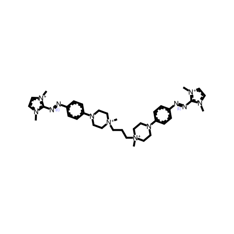 Cn1cc[n+](C)c1/N=N/c1ccc(N2CC[N+](C)(CCC[N+]3(C)CCN(c4ccc(/N=N/c5n(C)cc[n+]5C)cc4)CC3)CC2)cc1